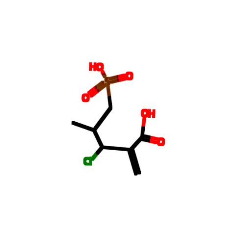 C=C(C(=O)O)C(Cl)C(C)CS(=O)(=O)O